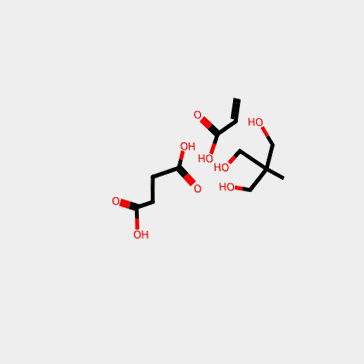 C=CC(=O)O.CC(CO)(CO)CO.O=C(O)CCC(=O)O